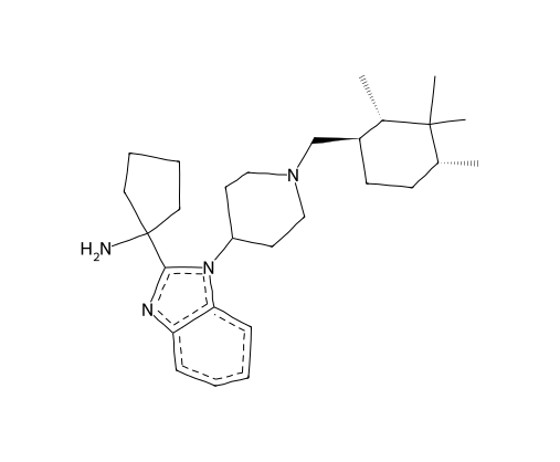 C[C@@H]1CC[C@@H](CN2CCC(n3c(C4(N)CCCC4)nc4ccccc43)CC2)[C@H](C)C1(C)C